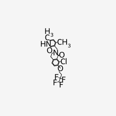 Cc1cc(C)c(CN2CCc3ccc(OCCC(F)(F)C(F)F)c(Cl)c3C2=O)c(=O)[nH]1